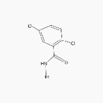 [CH2]CNC(=O)c1cc(Cl)ccc1Cl